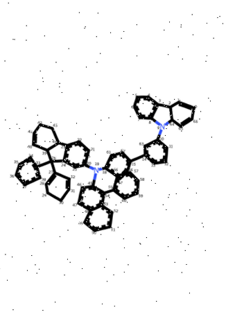 C1=CC2c3ccccc3N(c3cccc(-c4ccc(N(c5ccc6c(c5)C(C5=CCCC=C5)(c5ccccc5)C5C=CCCC65)c5ccc6ccccc6c5-c5ccccc5)cc4)c3)C2C=C1